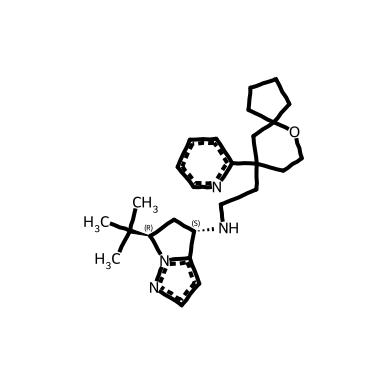 CC(C)(C)[C@H]1C[C@H](NCCC2(c3ccccn3)CCOC3(CCCC3)C2)c2ccnn21